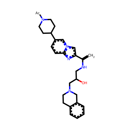 C=C(NCC(O)CN1CCc2ccccc2C1)c1cn2cc(C3CCN(C(C)=O)CC3)ccc2n1